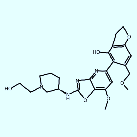 COCc1cc2c(c(O)c1-c1cc(OC)c3oc(N[C@@H]4CCCN(CCO)C4)nc3n1)CCO2